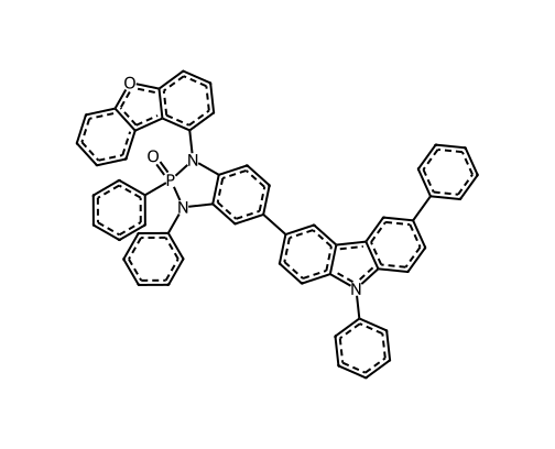 O=P1(c2ccccc2)N(c2ccccc2)c2cc(-c3ccc4c(c3)c3cc(-c5ccccc5)ccc3n4-c3ccccc3)ccc2N1c1cccc2oc3ccccc3c12